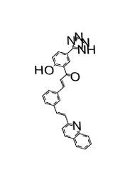 O=C(/C=C/c1cccc(/C=C/c2ccc3ccccc3n2)c1)c1cc(-c2nnn[nH]2)ccc1O